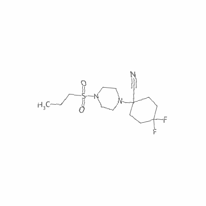 CCCS(=O)(=O)N1CCN(C2(C#N)CCC(F)(F)CC2)CC1